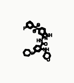 O=C(Nc1n[nH]c2ccc(S(=O)(=O)c3cccc(F)c3)cc12)c1ccc(CN2CCCCC2)cc1NC1CCOCC1